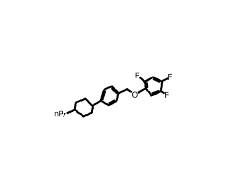 CCCC1CCC(c2ccc(COc3cc(F)c(F)cc3F)cc2)CC1